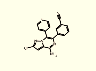 N#Cc1cccc(-c2nc(N)c3cc(Cl)nn3c2-c2ccncc2)c1